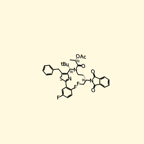 CC(=O)O[C@@H](C)C(=O)N(CC[C@@H](CF)N1C(=O)c2ccccc2C1=O)[C@H](c1nc(-c2cc(F)ccc2F)sc1Cc1ccccc1)C(C)(C)C